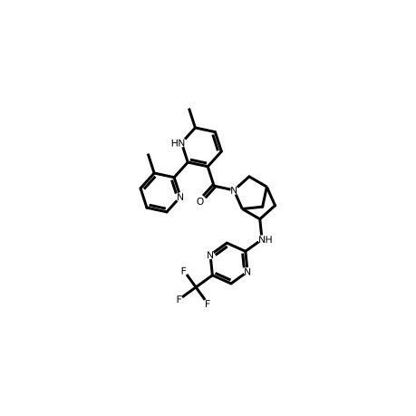 Cc1cccnc1C1=C(C(=O)N2CC3CC(Nc4cnc(C(F)(F)F)cn4)C2C3)C=CC(C)N1